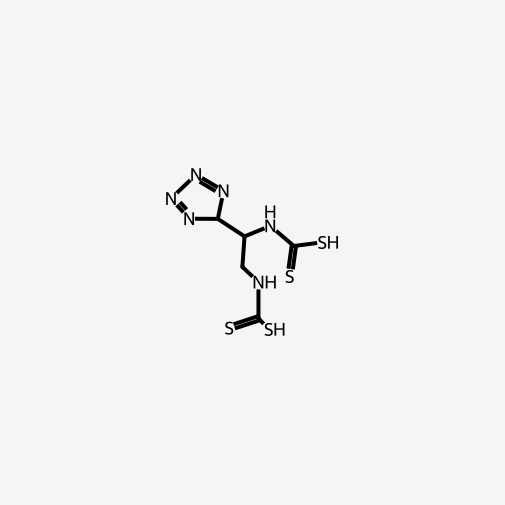 S=C(S)NCC(NC(=S)S)C1N=NN=N1